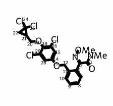 CNC(=O)C(=NOC)c1ccccc1COc1cc(Cl)c(OCC2CC2(Cl)Cl)c(Cl)c1